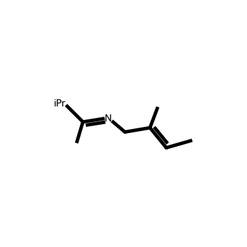 C/C=C(\C)C/N=C(\C)C(C)C